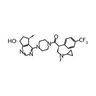 C[C@@H]1C[C@@H](O)c2ncnc(N3CCN(C(=O)[C@H](CN(C)C4CC4)c4ccc(C(F)(F)F)cc4)CC3)c21